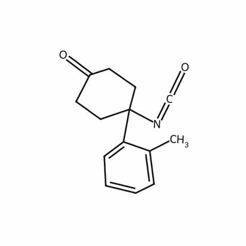 Cc1ccccc1C1(N=C=O)CCC(=O)CC1